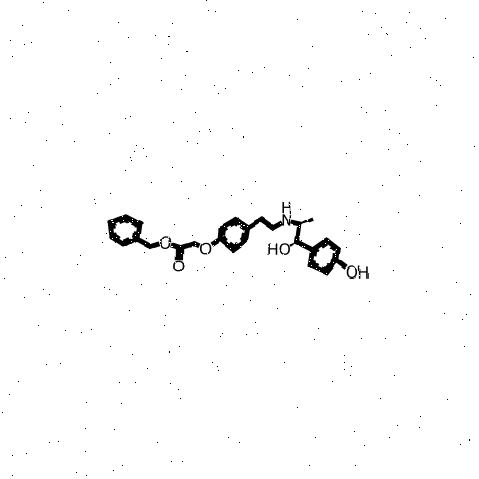 C[C@H](NCCc1ccc(OCC(=O)OCc2ccccc2)cc1)[C@@H](O)c1ccc(O)cc1